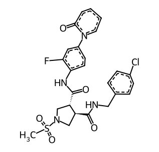 CS(=O)(=O)N1C[C@H](C(=O)NCc2ccc(Cl)cc2)[C@@H](C(=O)Nc2ccc(-n3ccccc3=O)cc2F)C1